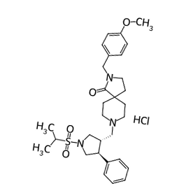 COc1ccc(CN2CCC3(CCN(C[C@H]4CN(S(=O)(=O)C(C)C)C[C@@H]4c4ccccc4)CC3)C2=O)cc1.Cl